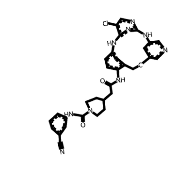 N#Cc1cccc(NC(=O)N2CCC(CC(=O)Nc3ccc4cc3CCc3cncc(c3)Nc3ncc(Cl)c(n3)N4)CC2)c1